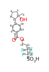 CC1(O)CCCC1c1ccc(C(=O)OCCC(F)(F)C(F)(F)S(=O)(=O)O)cc1